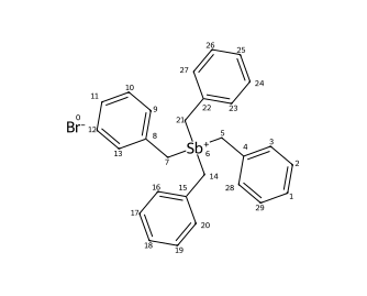 [Br-].c1ccc([CH2][Sb+]([CH2]c2ccccc2)([CH2]c2ccccc2)[CH2]c2ccccc2)cc1